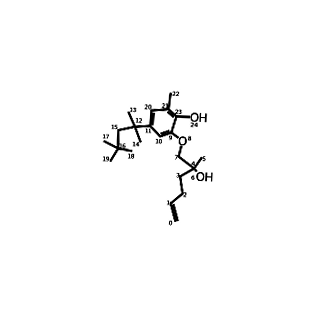 C=CCCC(C)(O)COc1cc(C(C)(C)CC(C)(C)C)cc(C)c1O